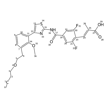 CCCCOCCc1cccc(-c2csc(NC(=O)c3cc(F)c(C=C(C)C(=O)O)c(F)c3)n2)c1OC